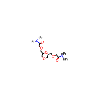 CCCN(CCC)C(=O)COCC1COCC(COCC(=O)N(CCC)CCC)O1